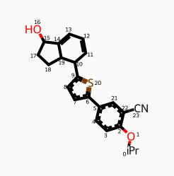 CC(C)Oc1ccc(-c2ccc(C3C=CC=C4C(O)CCC43)s2)cc1C#N